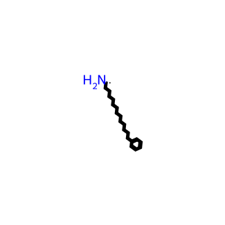 N[CH]CCCCCCCCCCCCCc1ccccc1